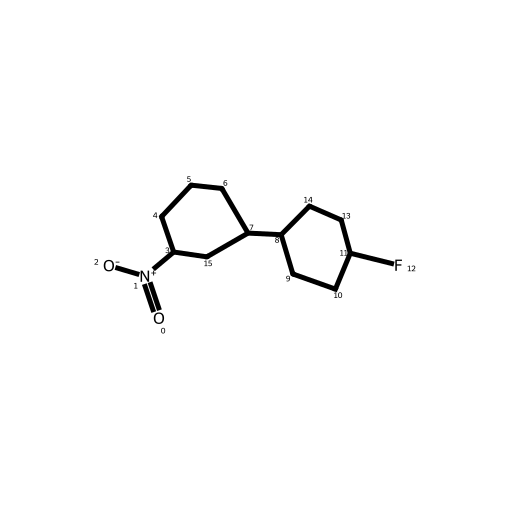 O=[N+]([O-])C1CCCC(C2CCC(F)CC2)C1